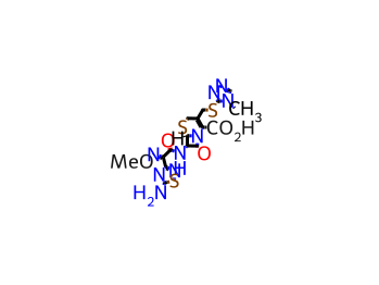 CO/N=C(/C(=O)NC1C(=O)N2C(C(=O)O)=C(CSc3nncn3C)CS[C@H]12)c1nsc(N)n1